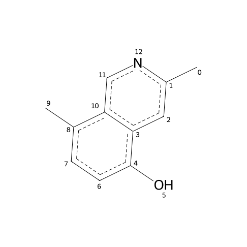 Cc1cc2c(O)ccc(C)c2cn1